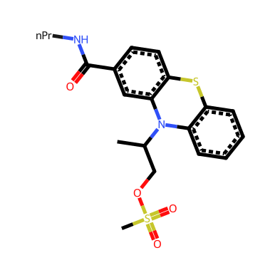 CCCNC(=O)c1ccc2c(c1)N(C(C)COS(C)(=O)=O)c1ccccc1S2